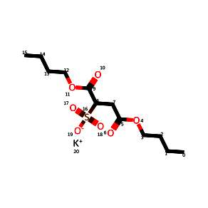 CCCCOC(=O)CC(C(=O)OCCCC)S(=O)(=O)[O-].[K+]